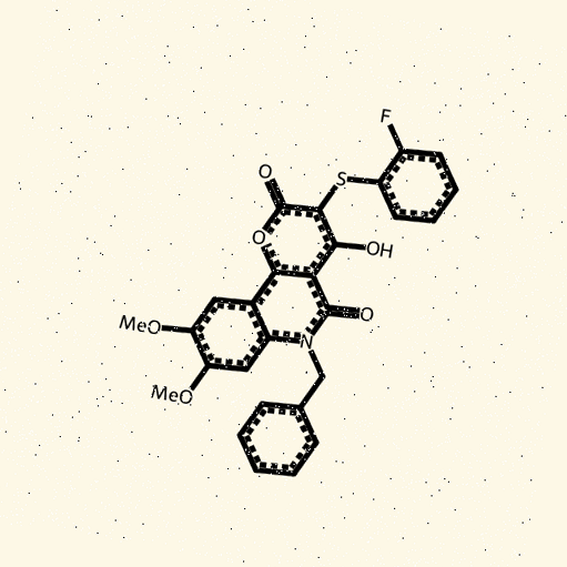 COc1cc2c3oc(=O)c(Sc4ccccc4F)c(O)c3c(=O)n(Cc3ccccc3)c2cc1OC